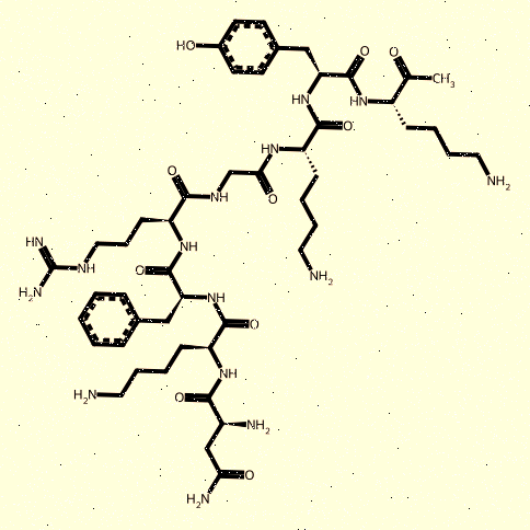 CC(=O)[C@H](CCCCN)NC(=O)[C@H](Cc1ccc(O)cc1)NC(=O)[C@H](CCCCN)NC(=O)CNC(=O)[C@H](CCCNC(=N)N)NC(=O)[C@H](Cc1ccccc1)NC(=O)[C@H](CCCCN)NC(=O)[C@@H](N)CC(N)=O